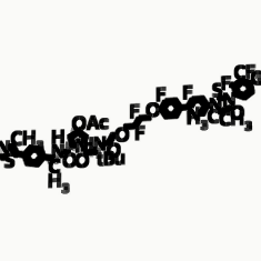 CC(=O)O[C@@H]1C[C@@H](C(=O)N[C@@H](C)c2ccc(-c3scnc3C)cc2)N(C(=O)[C@@H](NC(=O)COCC(F)C(F)COc2ccc(-c3ncc(N4C(=S)N(c5ccc(C#N)c(C(F)(F)F)c5F)C(=O)C4(C)C)cc3F)cc2F)C(C)(C)C)C1